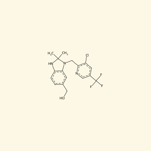 CC1(C)Nc2ccc(CO)cc2N1Cc1ncc(C(F)(F)F)cc1Cl